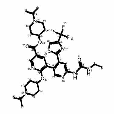 CCNC(=O)Nc1cc(-c2nc(C(F)(F)F)cs2)c(-c2cc(C(=O)OC3CCN(C(C)C)CC3)cnc2OC2CCN(C(C)C)CC2)cn1